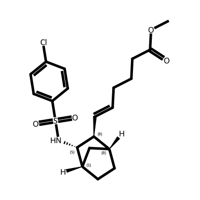 COC(=O)CCCC=C[C@H]1[C@@H]2CC[C@@H](C2)[C@@H]1NS(=O)(=O)c1ccc(Cl)cc1